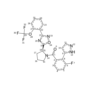 O=C(c1cccc(F)c1-c1ccn[nH]1)N1CCC[C@H]1c1nc(-c2ccccc2OC(F)(F)F)no1